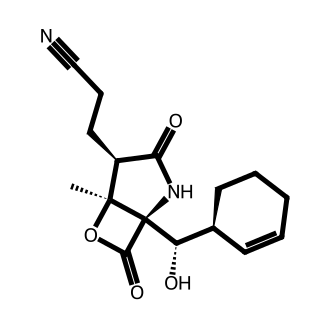 C[C@@]12OC(=O)[C@]1([C@@H](O)[C@@H]1C=CCCC1)NC(=O)[C@@H]2CCC#N